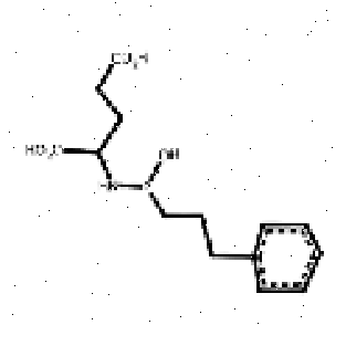 O=C(O)CCC(NP(O)CCCc1ccccc1)C(=O)O